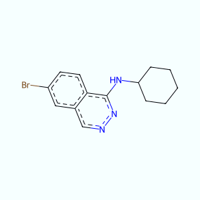 Brc1ccc2c(NC3CCCCC3)nncc2c1